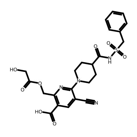 N#Cc1cc(C(=O)O)c(COC(=O)CO)nc1N1CCC(C(=O)NS(=O)(=O)Cc2ccccc2)CC1